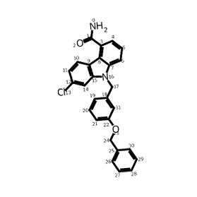 NC(=O)c1cccc2c1c1[c]cc(Cl)cc1n2Cc1cccc(OCc2ccccc2)c1